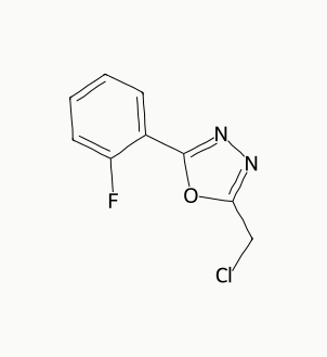 Fc1ccccc1-c1nnc(CCl)o1